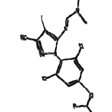 CN(C)C=Nc1c(I)c(C#N)nn1-c1c(Cl)cc(OC(F)F)cc1Cl